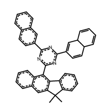 CC1(C)c2ccccc2-c2c1cc1ccccc1c2-c1nc(C2=CC3C=CC=CC3C=C2)nc(-c2ccc3ccccc3c2)n1